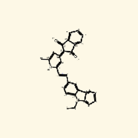 CCn1c2ccccc2c2cc(/C=C/C3=CC(=C4C(=O)c5ccccc5C4=O)C=C(C)O3)ccc21